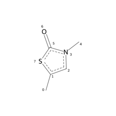 Cc1cn(C)c(=O)s1